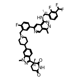 Cc1nnc(N[C@H](C)c2cccc(C(F)F)c2F)c2cc(-c3ccc(F)c(CN4CCC(c5ccc6c([C@@]7(C)CCC(=O)NC7=O)nn(C)c6c5)CC4)c3)ncc12